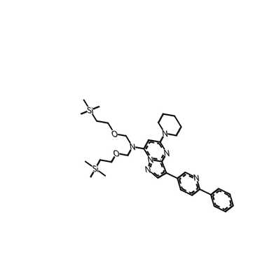 C[Si](C)(C)CCOCN(COCC[Si](C)(C)C)c1cc(N2CCCCC2)nc2c(-c3ccc(-c4ccccc4)nc3)cnn12